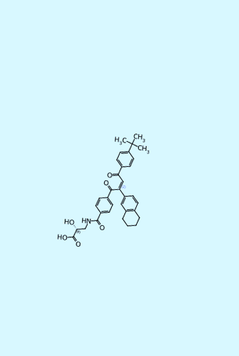 CC(C)(C)c1ccc(C(=O)/C=C(\C(=O)c2ccc(C(=O)NC[C@@H](O)C(=O)O)cc2)c2ccc3c(c2)CCCC3)cc1